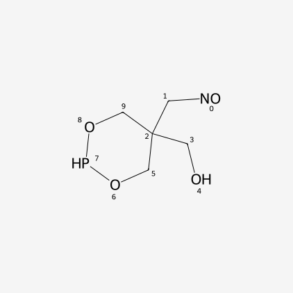 O=NCC1(CO)COPOC1